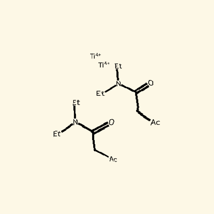 CCN(CC)C(=O)CC(C)=O.CCN(CC)C(=O)CC(C)=O.[Ti+4].[Ti+4]